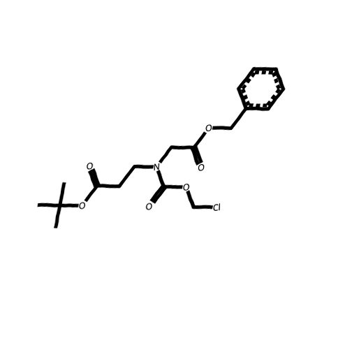 CC(C)(C)OC(=O)CCN(CC(=O)OCc1ccccc1)C(=O)OCCl